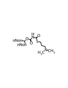 CCCCCCCCCC(CCCCCCCCC)OC(=O)NC(=O)SCCCN(C)C